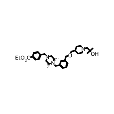 CCOC(=O)c1ccc(CN2C[C@@H](C)N(Cc3cccc(COCC4CCN(CC(C)(C)O)CC4)c3)[C@@H](C)C2)cc1